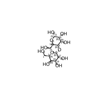 OC[C@H]1O[C@H](O[C@@H]2[C@H](O)[C@@H](O)[C@@H](O)O[C@@H]2CO)[C@H](O)[C@@H](O)[C@H]1O